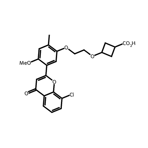 COc1cc(C)c(OCCOC2CC(C(=O)O)C2)cc1-c1cc(=O)c2cccc(Cl)c2o1